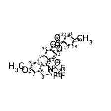 COc1ccc2c(c1)CCN(C(=O)C(F)(F)F)C2c1ccc(OS(=O)(=O)c2ccc(C)cc2)cc1